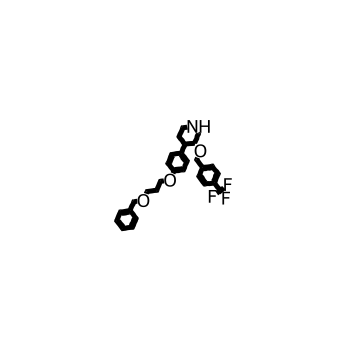 FC(F)(F)c1ccc(COC2CNCCC2c2ccc(OCCCOCc3ccccc3)cc2)cc1